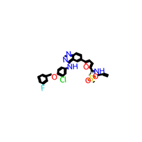 C#CCN[C@H](CS(C)(=O)=O)c1ccc(-c2ccc3ncnc(Nc4ccc(OCc5cccc(F)c5)c(Cl)c4)c3c2)o1